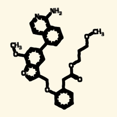 COCCCOC(=O)Cc1ccccc1OCc1coc2c(OC)cc(-c3cccc4c(N)nccc34)cc12